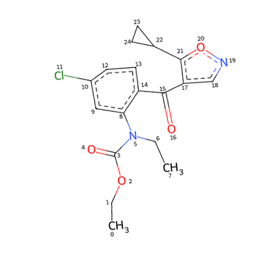 CCOC(=O)N(CC)c1cc(Cl)ccc1C(=O)c1cnoc1C1CC1